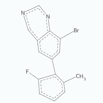 Cc1cccc(F)c1-c1cc(Br)c2ncncc2c1